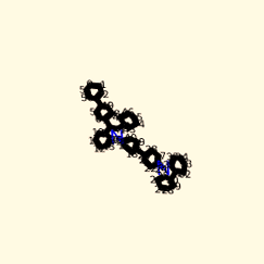 c1ccc(-c2ccc(C3c4ccccc4N(c4ccc(-c5ccc(-n6c7ccccc7c7ccccc76)cc5)cc4)C3c3ccccc3)cc2)cc1